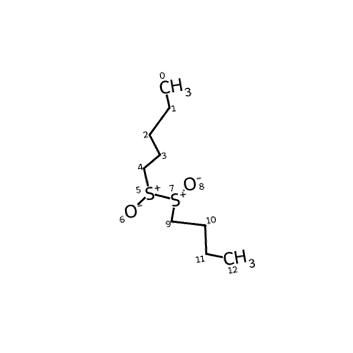 CCCCC[S+]([O-])[S+]([O-])CCCC